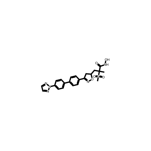 CC(CC1CC(c2ccc(-c3ccc(-n4nccn4)cc3)cc2)=NO1)(C(=O)NO)S(C)(=O)=O